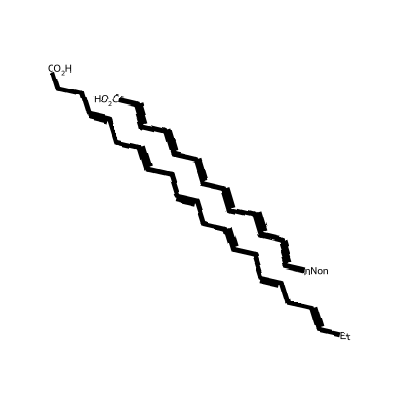 CCC=CCC=CCC=CCC=CCC=CCC=CCCC(=O)O.CCCCCCCCCC=CC=CC=CC=CC=CC=CC(=O)O